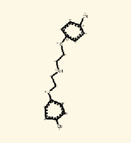 N#Cc1ccc(OCCNCCOc2ccc(C#N)cc2)cc1